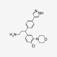 NCCC(c1ccc(-c2cn[nH]c2)cc1)c1ccc(Cl)c(N2CCOCC2)c1